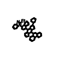 CCc1nc2ccccc2n1-c1ccc(-c2c3ccccc3c(-c3cc4ccccc4c4ccccc34)c3ccc(-c4ccccc4)cc23)c2ccccc12